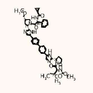 CC[C@H](C)[C@H](NC(=O)OC)C(=O)N1CCC[C@H]1c1ncc(-c2ccc(-c3ccc(-c4cnc([C@@H]5C[C@H](COC)CN5C(=O)[C@H](NC(=O)C5CC5)c5ccccc5)[nH]4)cc3)cc2)[nH]1